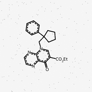 CCOC(=O)c1cn(CC2(c3ccccc3)CCCC2)c2nccnc2c1=O